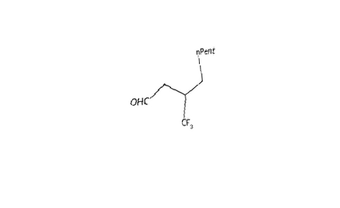 CCCCCCC(CC=O)C(F)(F)F